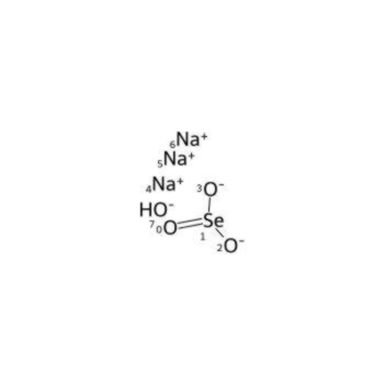 O=[Se]([O-])[O-].[Na+].[Na+].[Na+].[OH-]